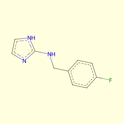 Fc1ccc(CNc2ncc[nH]2)cc1